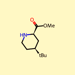 COC(=O)[C@H]1C[C@@H](C(C)(C)C)CCN1